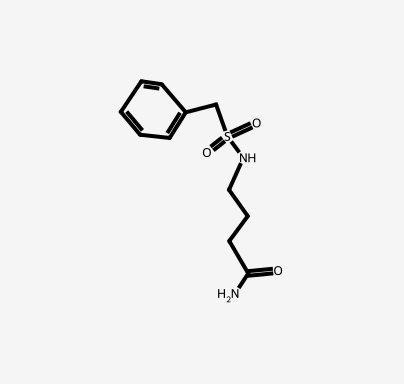 NC(=O)CCCNS(=O)(=O)Cc1ccccc1